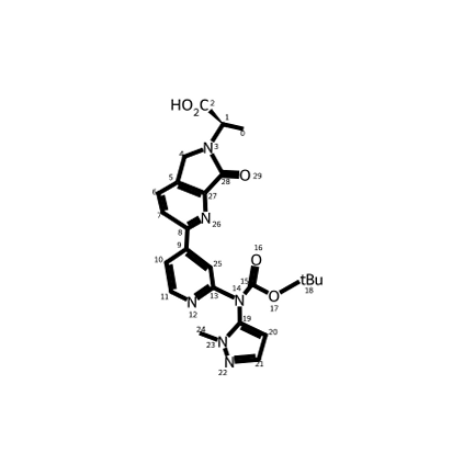 C[C@H](C(=O)O)N1Cc2ccc(-c3ccnc(N(C(=O)OC(C)(C)C)c4ccnn4C)c3)nc2C1=O